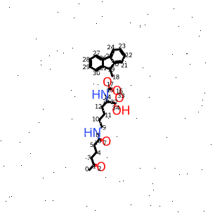 CC(=O)CCCC(=O)NCCCCC(NC(=O)OCC1c2ccccc2-c2ccccc21)C(=O)O